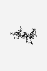 C=CC(=O)O.C=CC(=O)O.C=CC(=O)O.C=CC(=O)O.CCC(OCO)(OCO)OCO